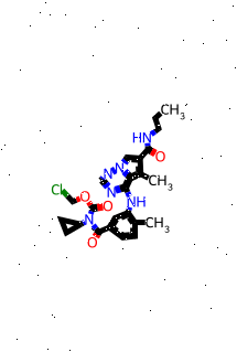 CCCNC(=O)c1cn2ncnc(Nc3cc(C(=O)N(C(=O)OCCl)C4CC4)ccc3C)c2c1C